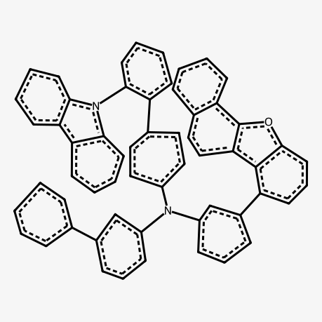 c1ccc(-c2cccc(N(c3ccc(-c4ccccc4-n4c5ccccc5c5ccccc54)cc3)c3cccc(-c4cccc5oc6c7ccccc7ccc6c45)c3)c2)cc1